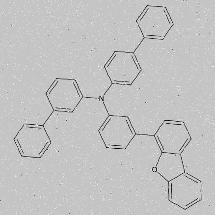 c1ccc(-c2ccc(N(c3cccc(-c4ccccc4)c3)c3cccc(-c4cccc5c4oc4ccccc45)c3)cc2)cc1